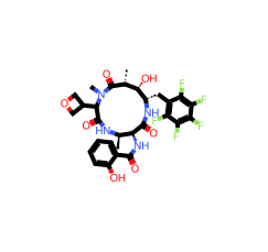 C[C@H]1NC(=O)C(C2COC2)N(C)C(=O)[C@H](C)[C@H](O)[C@H](Cc2c(F)c(F)c(F)c(F)c2F)NC(=O)[C@H]1NC(=O)c1ccccc1O